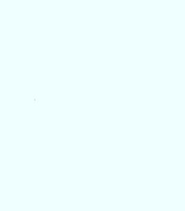 CC(=O)Oc1cccc(C)c1.O=C(O)c1ccccc1